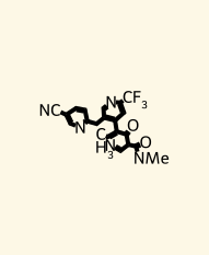 CNC(=O)C1C=NC(C)=C(c2cc(C(F)(F)F)ncc2Cc2ccc(C#N)cn2)C1=O